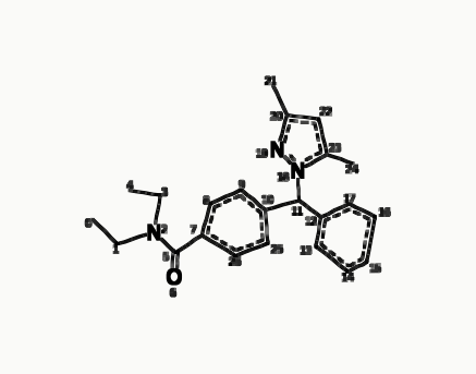 CCN(CC)C(=O)c1ccc(C(c2ccccc2)n2nc(C)cc2C)cc1